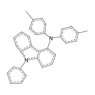 Cc1ccc(N(c2ccc(C)cc2)c2cccc3c2c2ccccc2n3-c2ccccc2)cc1